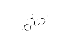 COC(=O)c1c(-c2ccc(F)cc2)nc2ccc(Br)cn12